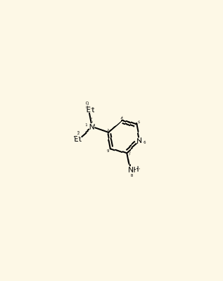 CCN(CC)c1ccnc([NH])c1